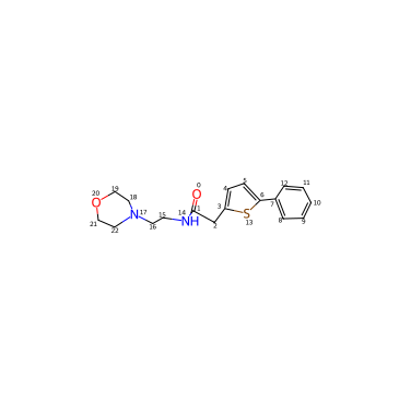 O=C(Cc1ccc(-c2ccccc2)s1)NCCN1CCOCC1